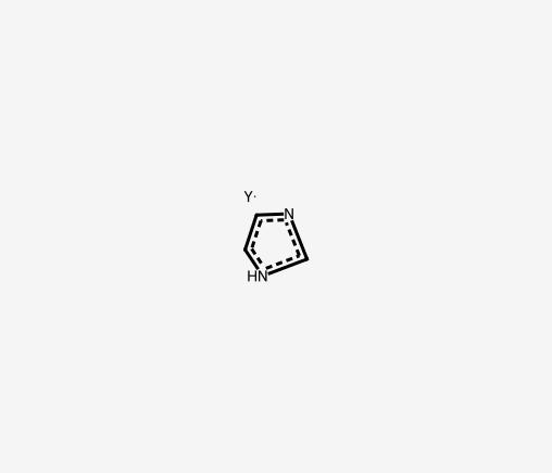 [Y].c1c[nH]cn1